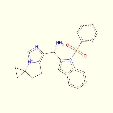 N[C@@H](c1ncn2c1CCC21CC1)c1cc2ccccc2n1S(=O)(=O)c1ccccc1